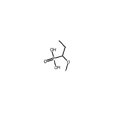 CCC(OC)P(=O)(O)O